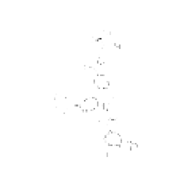 Nc1ccc(NC(=O)N(Cc2ccc(C(=O)NC[C@@H](O)C(=O)O)cc2)c2ccc(C3CCCCC3)cc2)cc1C(F)(F)F